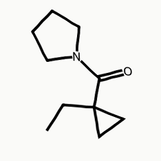 CCC1(C(=O)N2CCCC2)CC1